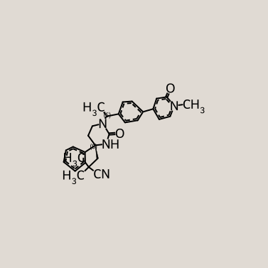 C[C@@H](c1ccc(-c2ccn(C)c(=O)c2)cc1)N1CC[C@@](CC(C)(C)C#N)(c2ccccc2)NC1=O